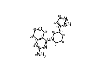 Nc1nc2c(c(N3CCCC(c4ccn[nH]4)C3)n1)COCC2